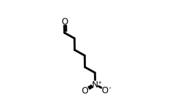 O=CCCCCC[N+](=O)[O-]